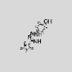 N=C(/N=N\Nc1ccc(O)cc1)c1cccs1